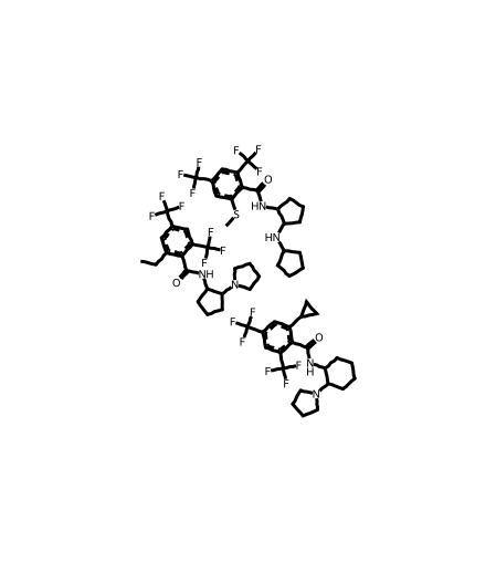 CCc1cc(C(F)(F)F)cc(C(F)(F)F)c1C(=O)NC1CCCC1N1CCCC1.CSc1cc(C(F)(F)F)cc(C(F)(F)F)c1C(=O)NC1CCCC1NC1CCCC1.O=C(NC1CCCCC1N1CCCC1)c1c(C2CC2)cc(C(F)(F)F)cc1C(F)(F)F